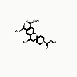 COC(=O)c1cc2c(cc1C(=O)OC)C(O)CC1(CCN(C(=O)OC(C)(C)C)CC1)O2